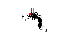 O=C(CCn1cnc2c([nH]c3ccc(C(F)(F)F)cc32)c1=O)N1CCN(Cc2cccc(C(F)(F)F)c2)CC1